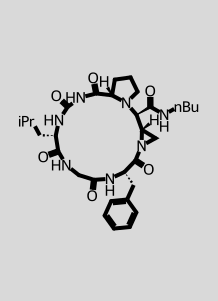 CCCCNC(=O)[C@H]1[C@@H]2CN2C(=O)[C@H](Cc2ccccc2)NC(=O)CNC(=O)[C@H](CC(C)C)NC(=O)NC(=O)[C@@H]2CCCN21